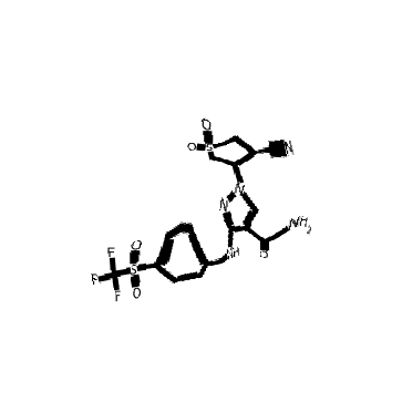 N#C[C@@H]1CS(=O)(=O)CC1n1cc(C(N)=O)c(Nc2ccc(S(=O)(=O)C(F)(F)F)cc2)n1